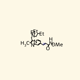 CCC(CC)CN(CC)Cc1c(C)nc2cc(/C=C/C(=O)NOC)ccn12